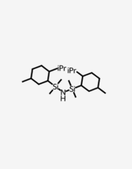 CC1CCC(C(C)C)C([Si](C)(C)N[Si](C)(C)C2CC(C)CCC2C(C)C)C1